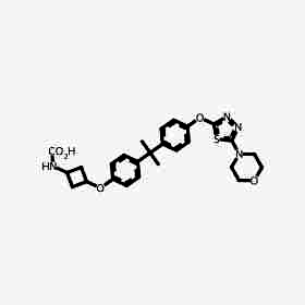 CC(C)(c1ccc(Oc2nnc(N3CCOCC3)s2)cc1)c1ccc(OC2CC(NC(=O)O)C2)cc1